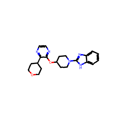 c1ccc2[nH]c(N3CCC(Oc4nccnc4C4CCOCC4)CC3)nc2c1